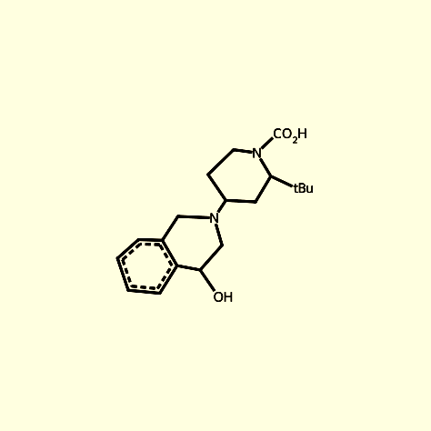 CC(C)(C)C1CC(N2Cc3ccccc3C(O)C2)CCN1C(=O)O